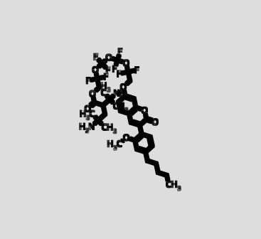 CCCCCc1ccc(-c2cc3ccc(OCC(F)(F)OC(F)(F)OC(F)(F)OC(F)(F)COC(=O)C(CC(C)(C)N)C(C)(C)N)cc3oc2=O)c(OC)c1